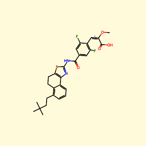 CO/C(=C/c1c(F)cc(C(=O)Nc2nc3c(s2)CCc2c(CCC(C)(C)C)cccc2-3)cc1F)C(=O)O